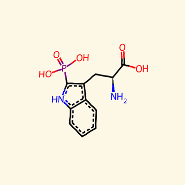 N[C@@H](Cc1c(P(=O)(O)O)[nH]c2ccccc12)C(=O)O